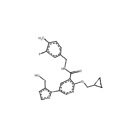 Cc1ccc(CNC(=O)c2cc(-c3sccc3CO)cnc2OCC2CC2)cc1F